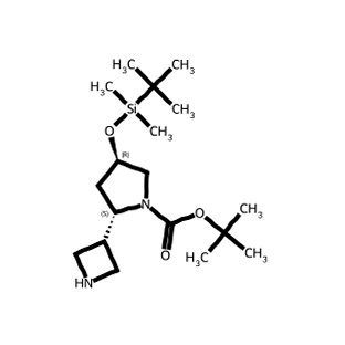 CC(C)(C)OC(=O)N1C[C@H](O[Si](C)(C)C(C)(C)C)C[C@H]1C1CNC1